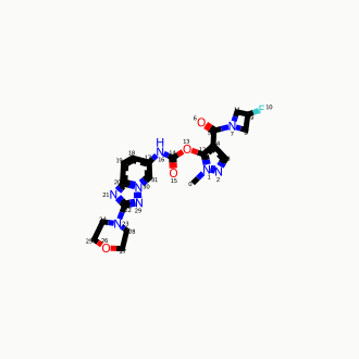 Cn1ncc(C(=O)N2CC(F)C2)c1OC(=O)Nc1ccc2nc(N3CCOCC3)nn2c1